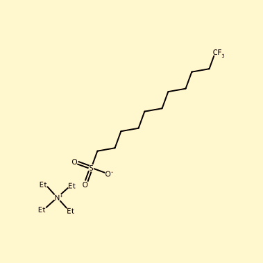 CC[N+](CC)(CC)CC.O=S(=O)([O-])CCCCCCCCCCC(F)(F)F